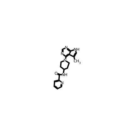 Cc1c[nH]c2ncnc(N3CCC(NC(=O)c4ccccn4)CC3)c12